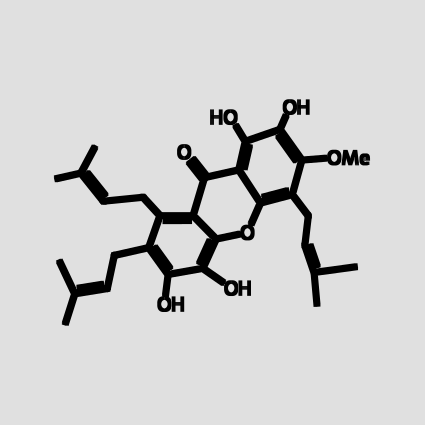 COc1c(O)c(O)c2c(=O)c3c(CC=C(C)C)c(CC=C(C)C)c(O)c(O)c3oc2c1CC=C(C)C